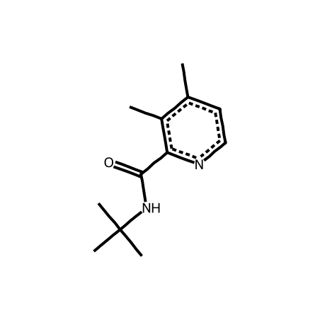 Cc1ccnc(C(=O)NC(C)(C)C)c1C